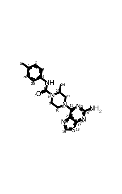 Cc1ccc(NC(=O)N2CCN(c3nc(N)nc4scnc34)CC2C)cc1